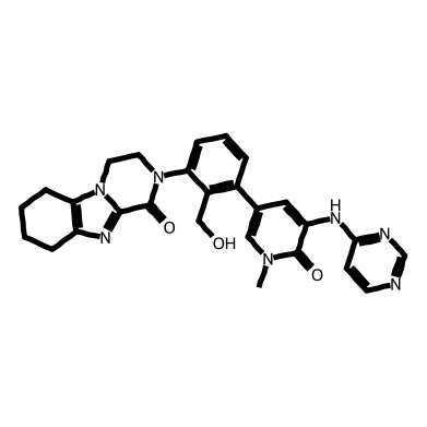 Cn1cc(-c2cccc(N3CCn4c(nc5c4CCCC5)C3=O)c2CO)cc(Nc2ccncn2)c1=O